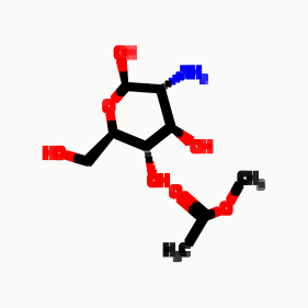 COC(C)=O.N[C@@H]1[C@@H](O)[C@H](O)[C@@H](CO)O[C@H]1O